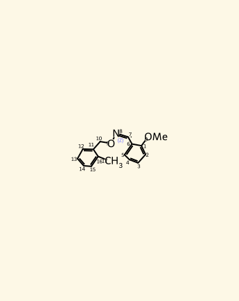 COc1ccccc1/[C]=N\OCc1ccccc1C